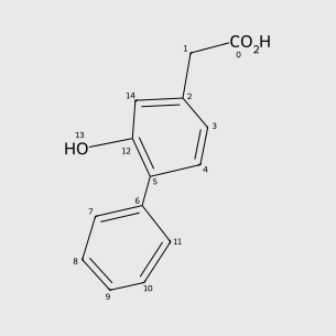 O=C(O)Cc1ccc(-c2ccccc2)c(O)c1